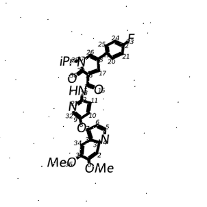 COc1cc2nccc(Oc3ccc(NC(=O)c4cc(-c5ccc(F)cc5)cn(C(C)C)c4=O)nc3)c2cc1OC